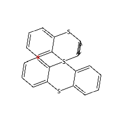 c1ccc2c(c1)Sc1ccccc1S21c2ccccc2Sc2ccccc21